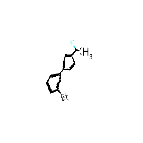 CCc1cccc(-c2ccc(C(C)F)cc2)c1